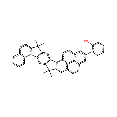 CC1(C)c2cc3c(cc2-c2c1ccc1ccccc21)C(C)(C)c1cc2ccc4cc(-c5ccccc5O)cc5ccc(c1-3)c2c45